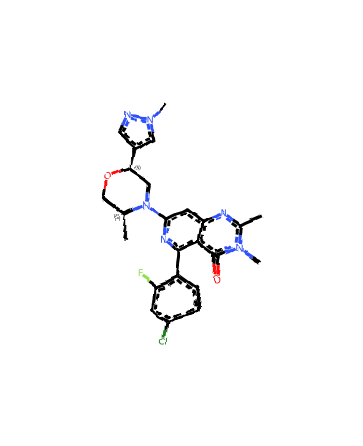 Cc1nc2cc(N3C[C@H](c4cnn(C)c4)OC[C@@H]3C)nc(-c3ccc(Cl)cc3F)c2c(=O)n1C